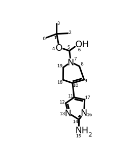 CC(C)(C)OC(O)N1CC=C(c2cnc(N)nc2)CC1